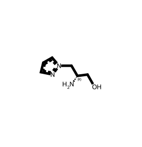 N[C@@H](CO)Cn1cccn1